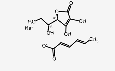 CC=CC=CC(=O)[O-].O=C1O[C@H]([C@@H](O)CO)C(O)=C1O.[Na+]